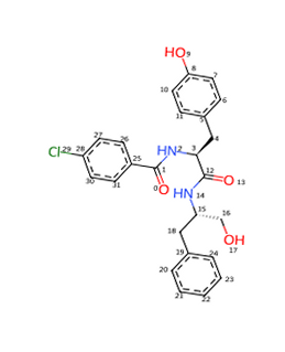 O=C(N[C@@H](Cc1ccc(O)cc1)C(=O)N[C@H](CO)Cc1ccccc1)c1ccc(Cl)cc1